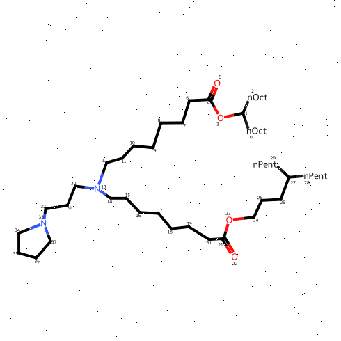 CCCCCCCCC(CCCCCCCC)OC(=O)CCCCCCCN(CCCCCCCC(=O)OCCCC(CCCCC)CCCCC)CCCN1CCCC1